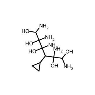 NC(O)C(N)(O)C(C1CC1)C(N)(O)C(N)(O)C(N)O